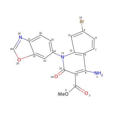 COC(=O)c1c(N)c2ccc(Br)cc2n(-c2ccc3ncoc3c2)c1=O